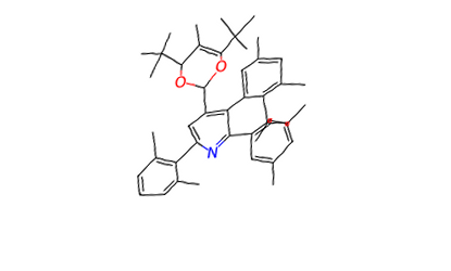 CC1=C(C(C)(C)C)OC(c2cc(-c3c(C)cccc3C)nc(-c3cc(C)cc(C)c3)c2-c2cc(C)cc(C)c2C(C)C)OC1C(C)(C)C